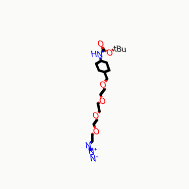 CC(C)(C)OC(=O)NC1CCC(COCCOCCOCCOCCN=[N+]=[N-])CC1